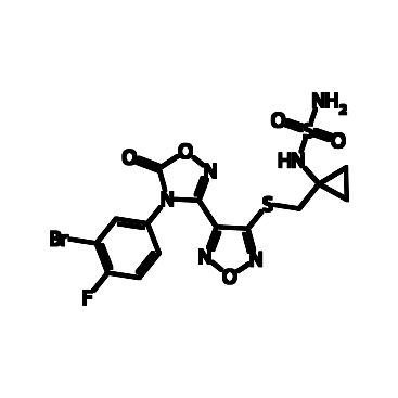 NS(=O)(=O)NC1(CSc2nonc2-c2noc(=O)n2-c2ccc(F)c(Br)c2)CC1